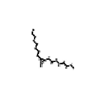 CCCCCCCCC1NC1CCCCCCCC